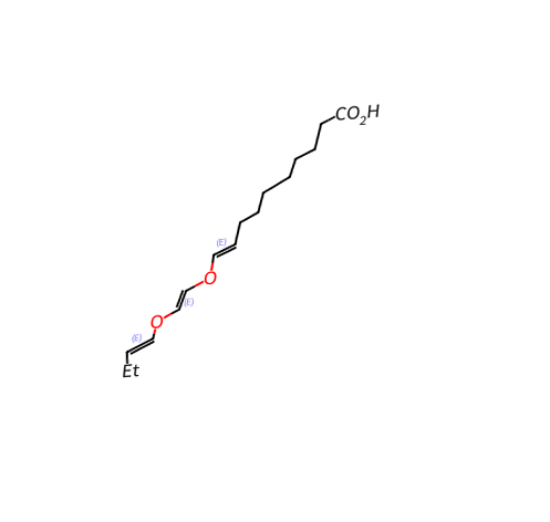 CC/C=C/O/C=C/O/C=C/CCCCCCCC(=O)O